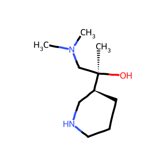 CN(C)C[C@@](C)(O)[C@H]1CCCNC1